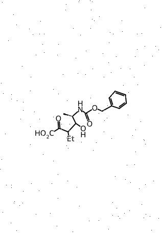 CCC(C(=O)C(=O)O)C(O)[C@@H](C)NC(=O)OCc1ccccc1